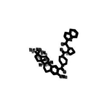 COc1cc2c(cc1C(=O)N1CCN(C(=O)[C@@H]3CCCN3C(=O)c3ccc4ccccc4n3)CC1)[C@H]1CC[C@@]3(C)[C@@H](CC[C@]3(C)O)[C@@H]1CC2